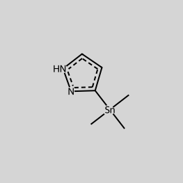 [CH3][Sn]([CH3])([CH3])[c]1cc[nH]n1